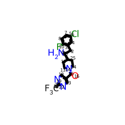 N[C@H](Cc1cc(Cl)ccc1F)C1CCN(C(=O)c2cnc(C(F)(F)F)nc2)CC1